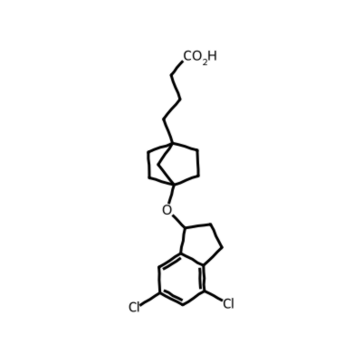 O=C(O)CCCC12CCC(OC3CCc4c(Cl)cc(Cl)cc43)(CC1)C2